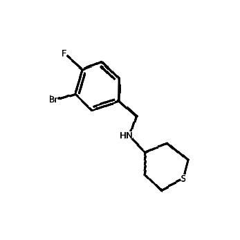 Fc1ccc(CNC2CCSCC2)cc1Br